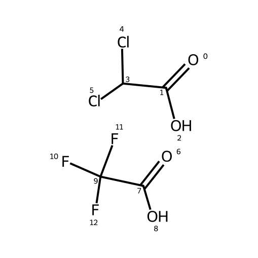 O=C(O)C(Cl)Cl.O=C(O)C(F)(F)F